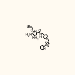 CC(C)(C)COc1nc(C(=O)NCC2CCN(Cc3cnc(-c4ccccn4)s3)CC2)cc(N)c1N